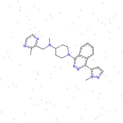 Cc1nccnc1CN(C)C1CCN(c2nnc(-c3ccnn3C)c3ccccc23)CC1